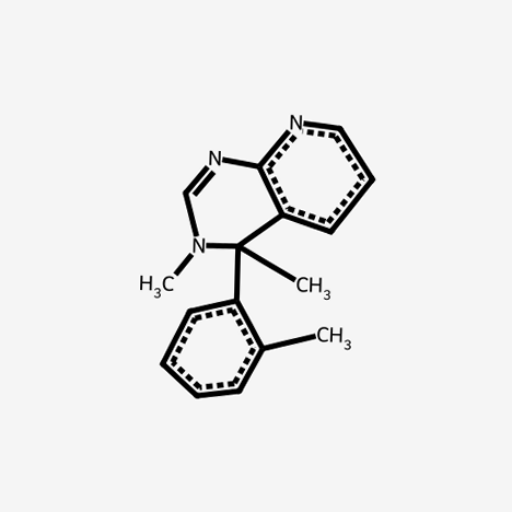 Cc1ccccc1C1(C)c2cccnc2N=CN1C